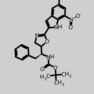 CC(C)(C)OC(=O)N[C@@H](Cc1ccccc1)C1CN=C(c2cc3cc(Cl)cc([N+](=O)[O-])c3[nH]2)O1